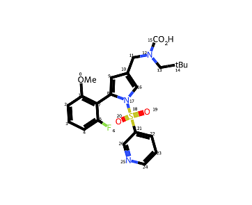 COc1cccc(F)c1-c1cc(CN(CC(C)(C)C)C(=O)O)cn1S(=O)(=O)c1cccnc1